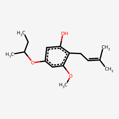 CCC(C)Oc1cc(O)c(CC=C(C)C)c(OC)c1